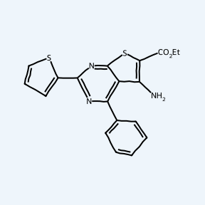 CCOC(=O)c1sc2nc(-c3cccs3)nc(-c3ccccc3)c2c1N